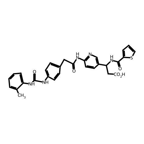 Cc1ccccc1NC(=O)Nc1ccc(CC(=O)Nc2ccc(C(CC(=O)O)NC(=O)c3cccs3)cn2)cc1